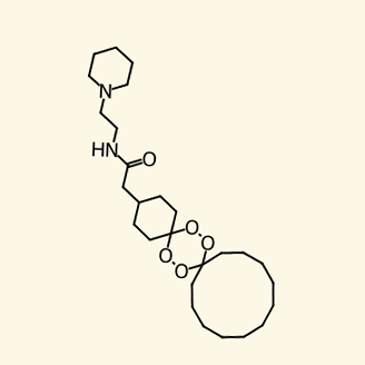 O=C(CC1CCC2(CC1)OOC1(CCCCCCCCCCC1)OO2)NCCN1CCCCC1